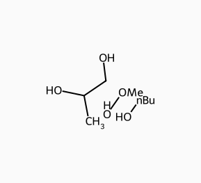 CC(O)CO.CCCCO.COO